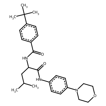 CC(C)CC(NC(=O)c1ccc(C(C)(C)C)cc1)C(=O)Nc1ccc(N2CCOCC2)cc1